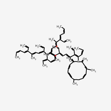 C=CC(=C(\C=C/C)N1C(=C)/C=C\C=C/C(C)C/C=C\C(C)=C/C1=C)/C(C)=C/C=C(C=C)/C(/C=C\C(=C/C)N(/C(C=C)=C/C=C(C)/C(C=C)=C/C=C\C)/C(C=C)=C/C=C(C)/C(C=C)=C/C=C\C)=C/C